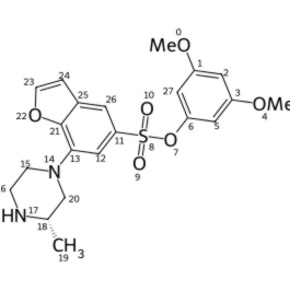 COc1cc(OC)cc(OS(=O)(=O)c2cc(N3CCN[C@@H](C)C3)c3occc3c2)c1